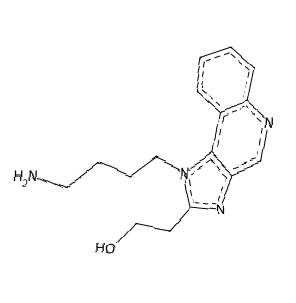 NCCCCn1c(CCO)nc2cnc3ccccc3c21